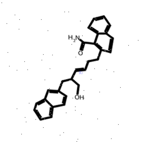 NC(=O)c1c(C[CH]/C=C/C(CO)Cc2ccc3ccccc3c2)ccc2ccccc12